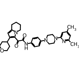 Cc1cc(C)nc(N2CCN(c3ccc(NC(=O)C(=O)c4c(C5CCOCC5)cc5n4CCCC5)cc3)CC2)c1